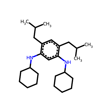 CC(C)Cc1cc(CC(C)C)c(NC2CCCCC2)cc1NC1CCCCC1